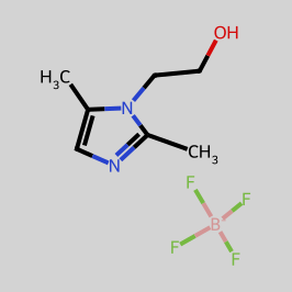 Cc1cnc(C)n1CCO.F[B-](F)(F)F